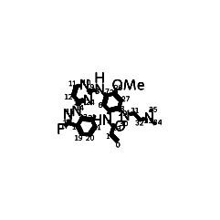 C=CC(=O)Nc1cc(Nc2nccc(-n3nc(F)c4ccccc43)n2)c(OC)cc1N(C)CCN(C)C